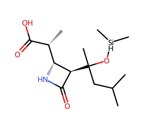 CC(C)CC(C)(O[SiH](C)C)[C@H]1C(=O)N[C@@H]1[C@@H](C)C(=O)O